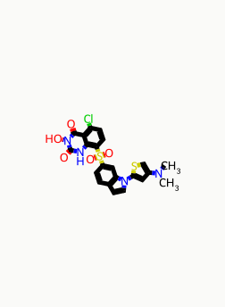 CN(C)c1csc(-n2ccc3ccc(S(=O)(=O)c4ccc(Cl)c5c(=O)n(O)c(=O)[nH]c45)cc32)c1